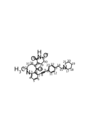 C/C1=N/c2cccc(C#Cc3ccc(CCN4CCCCC4)cc3)c2C(=O)C(C2CCC(=O)NC2=O)CC1